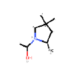 CC(=O)[C@@H]1CC(C)(C)CN1C(C)O